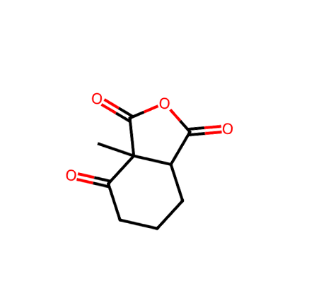 CC12C(=O)CCCC1C(=O)OC2=O